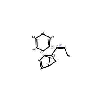 C/C=C\C1CC2C=CC1C2.C1=CCC=CC1